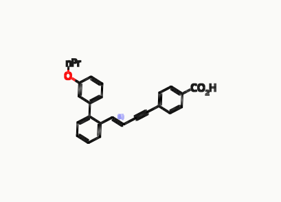 CCCOc1cccc(-c2ccccc2/C=C/C#Cc2ccc(C(=O)O)cc2)c1